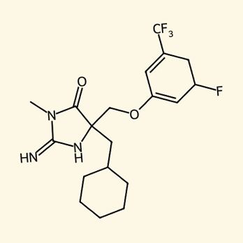 CN1C(=N)NC(COC2=CC(F)CC(C(F)(F)F)=C2)(CC2CCCCC2)C1=O